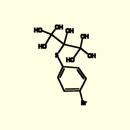 OC(O)(O)C(O)(Sc1ccc(Br)cc1)C(O)(O)O